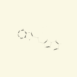 C1=CC2=CC(CCC3=Cc4ccccc4C3)=CC2C=C1.[Cl-].[Cl-].[Zr+2]